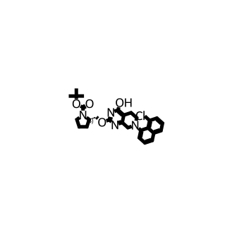 CC(C)(C)OC(=O)N1CCC[C@H]1COc1nc(O)c2c(n1)CN(c1cccc3cccc(Cl)c13)CC2